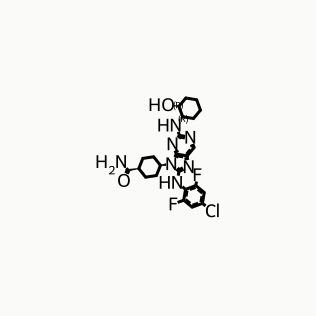 NC(=O)[C@H]1CC[C@@H](n2c(Nc3c(F)cc(Cl)cc3F)nc3cnc(N[C@@H]4CCCC[C@H]4O)nc32)CC1